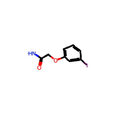 [NH]C(=O)COc1cccc(I)c1